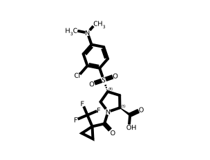 CN(C)c1ccc(S(=O)(=O)[C@@H]2C[C@@H](C(=O)O)N(C(=O)C3(C(F)(F)F)CC3)C2)c(Cl)c1